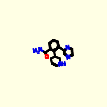 NC(=O)c1cccc(-c2cnccn2)c1C1CC=CNC1